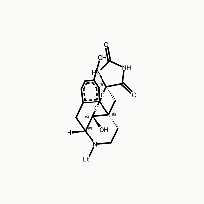 CCN1CC[C@]23C[C@]4(CC[C@@]2(O)[C@H]1Cc1ccc(O)cc13)NC(=O)NC4=O